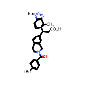 CCn1nnc2c(C)c(C(CC(=O)O)c3ccc4c(c3)CN(C(=O)c3ccc(C(C)(C)C)cc3)CC4)ccc21